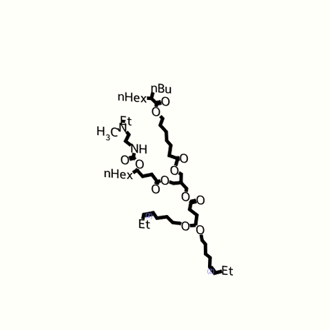 CC/C=C\CCCCOC(CCC(=O)OCC(COC(=O)CCCCCCOC(=O)C(CCCC)CCCCCC)COC(=O)CCC(CCCCCC)OC(=O)NCCN(C)CC)OCCCC/C=C\CC